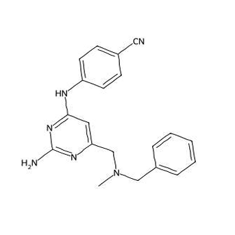 CN(Cc1ccccc1)Cc1cc(Nc2ccc(C#N)cc2)nc(N)n1